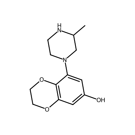 CC1CN(c2cc(O)cc3c2OCCO3)CCN1